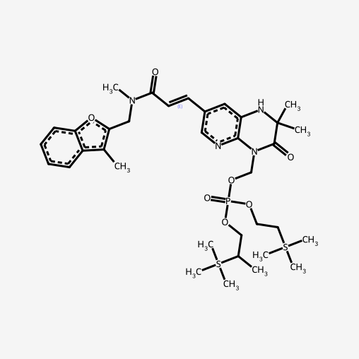 Cc1c(CN(C)C(=O)/C=C/c2cnc3c(c2)NC(C)(C)C(=O)N3COP(=O)(OCCS(C)(C)C)OCC(C)S(C)(C)C)oc2ccccc12